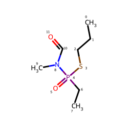 CCCSP(=O)(CC)N(C)C=O